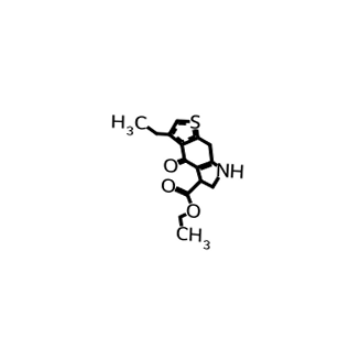 CCOC(=O)C1CNC2=C1C(=O)c1c(CC)csc1C2